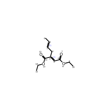 C/C=C/C/C(=C\C(=O)OCC)C(=O)OCC